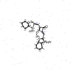 CCCN1/C(=C\C2=C(SC(C)C)C(=C\c3sc4ccccc4[n+]3CCC)/C2=O)Sc2ccccc21